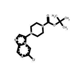 CC(C)(C)OC(=O)N1CCN(c2cnc3cnc(Cl)cn23)CC1